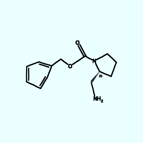 NC[C@H]1CCCN1C(=O)OCc1ccccc1